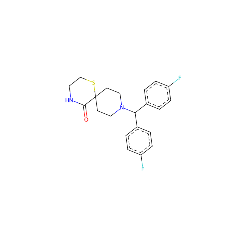 O=C1NCCSC12CCN(C(c1ccc(F)cc1)c1ccc(F)cc1)CC2